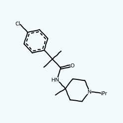 CC(C)N1CCC(C)(NC(=O)C(C)(C)c2ccc(Cl)cc2)CC1